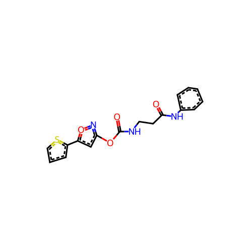 O=C(CCNC(=O)Oc1cc(-c2cccs2)on1)Nc1ccccc1